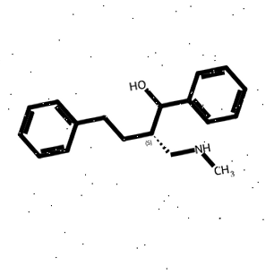 CNC[C@H](CCc1ccccc1)C(O)c1ccccc1